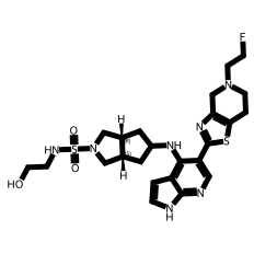 O=S(=O)(NCCO)N1C[C@H]2CC(Nc3c(-c4nc5c(s4)CCN(CCF)C5)cnc4[nH]ccc34)C[C@H]2C1